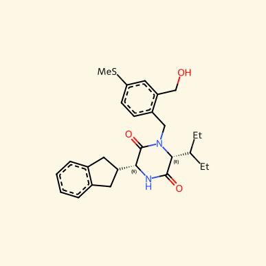 CCC(CC)[C@@H]1C(=O)N[C@H](C2Cc3ccccc3C2)C(=O)N1Cc1ccc(SC)cc1CO